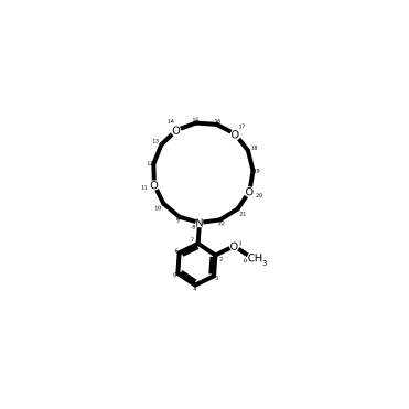 COc1ccccc1N1CCOCCOCCOCCOCC1